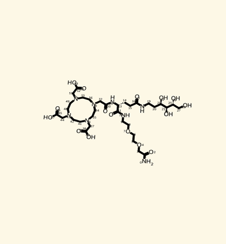 NC(=O)COCCOCCNC(=O)[C@@H](CCC(=O)NCC[C@@H](O)[C@H](O)[C@H](O)CO)NC(=O)CN1CCN(CC(=O)O)CCN(CC(=O)O)CCN(CC(=O)O)CC1